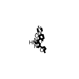 COc1c(N2CCN(C)CC2)ccc(F)c1-c1n[nH]c2ncc(-c3ccc(C)o3)cc12